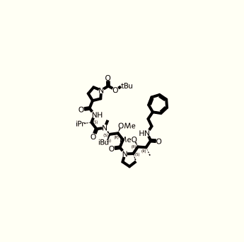 CC[C@H](C)[C@@H]([C@@H](CC(=O)N1CCC[C@H]1[C@H](OC)[C@@H](C)C(=O)NCCC1C=CC=CC=C1)OC)N(C)C(=O)[C@@H](NC(=O)C1CCN(C(=O)OC(C)(C)C)C1)C(C)C